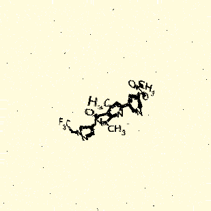 Cc1cc(-c2cncc(S(C)(=O)=O)c2)nc2c1C(=O)N(C1C=NN(CC(F)(F)F)C1)[C@H]2C